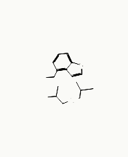 CC(C)[CH2][Al+][CH2]C(C)C.OCc1cccc2[nH]ccc12.[H-]